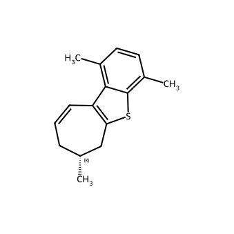 Cc1ccc(C)c2c3c(sc12)C[C@H](C)CC=C3